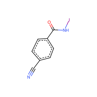 N#Cc1ccc(C(=O)NI)cc1